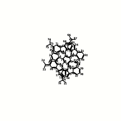 Cc1cc(C)cc(-c2c(-n3c4ccc(C(C)C)cc4c4cc(C(C)C)ccc43)c(-n3c4ccccc4c4ccccc43)c(C#N)c(-n3c4ccccc4c4ccccc43)c2-n2c3ccc(C(C)C)cc3c3cc(C(C)C)ccc32)c1